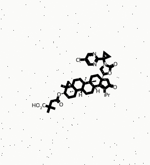 CC(C)C1=C2[C@H]3CC[C@@H]4[C@@]5(C)CC[C@H](OC(=O)CC(C)(C)C(=O)O)C6(C)C[C@]65CC[C@@]4(C)[C@]3(C)CC[C@@]2(C2CN(C3(c4ncc(Cl)cn4)CC3)C(=O)O2)CC1=O